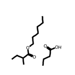 CCCC(=O)O.CCCCCCOC(=O)C(C)CC